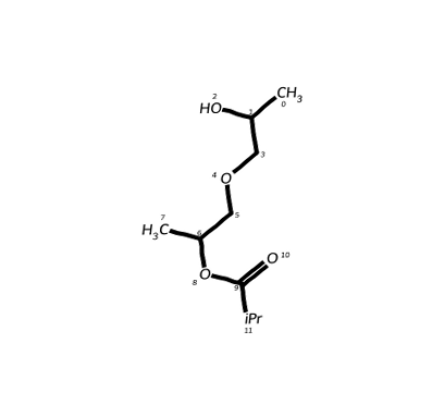 CC(O)COCC(C)OC(=O)C(C)C